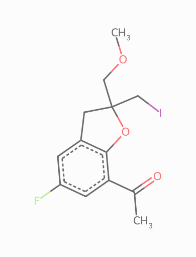 COCC1(CI)Cc2cc(F)cc(C(C)=O)c2O1